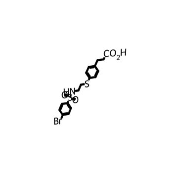 O=C(O)CCc1ccc(SCCNS(=O)(=O)c2ccc(Br)cc2)cc1